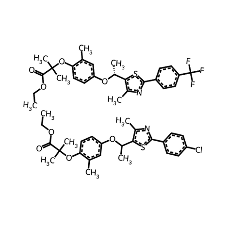 CCOC(=O)C(C)(C)Oc1ccc(OC(C)c2sc(-c3ccc(Cl)cc3)nc2C)cc1C.CCOC(=O)C(C)(C)Oc1ccc(O[C@H](C)c2sc(-c3ccc(C(F)(F)F)cc3)nc2C)cc1C